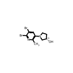 Cc1nc(Br)c(Br)cc1N1CC[C@H](O)C1